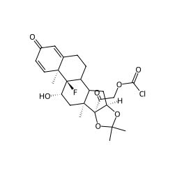 CC1(C)O[C@@H]2CC3C4CCC5=CC(=O)C=C[C@]5(C)[C@@]4(F)[C@@H](O)C[C@]3(C)[C@]2(C(=O)COC(=O)Cl)O1